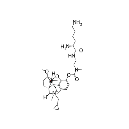 CO[C@]12CC[C@@]3(C[C@@H]1C)[C@H]1Cc4ccc(OC(=O)N(C)CCNC(=O)[C@@H](N)CCCCN)c5c4[C@@]3(CC[N+]1(C)CC1CC1)[C@H]2O5